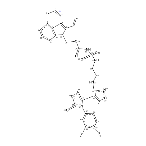 C=CC1=C(/C=C\C)c2ccccc2C1COC(=O)NS(=O)(=O)NCCNc1nonc1-c1noc(=O)n1-c1ccc(F)c(Br)c1